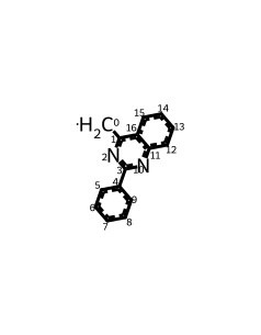 [CH2]c1nc(-c2ccccc2)nc2ccccc12